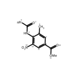 CCCC(=O)Nc1c(C)cc(C(=O)OC)cc1[N+](=O)[O-]